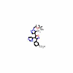 C[C@H](Cn1ncc(-c2onc(-c3cccc(C(=O)O)c3)c2-c2ccncn2)c1C(F)(F)F)O[Si](C)(C)C(C)(C)C